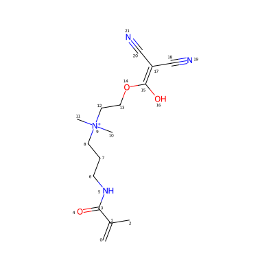 C=C(C)C(=O)NCCC[N+](C)(C)CCOC(O)=C(C#N)C#N